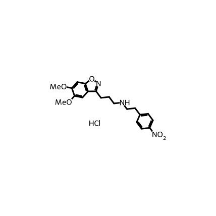 COc1cc2onc(CCCNCCc3ccc([N+](=O)[O-])cc3)c2cc1OC.Cl